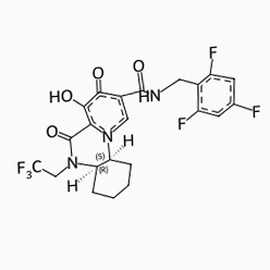 O=C(NCc1c(F)cc(F)cc1F)c1cn2c(c(O)c1=O)C(=O)N(CC(F)(F)F)[C@@H]1CCCC[C@@H]12